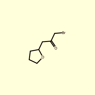 O=C(CBr)CC1CCCO1